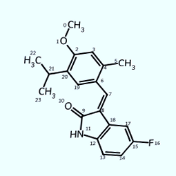 COc1cc(C)c(C=C2C(=O)Nc3ccc(F)cc32)cc1C(C)C